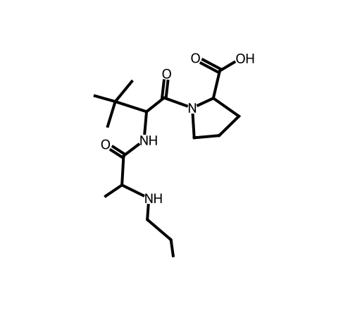 CCCNC(C)C(=O)NC(C(=O)N1CCCC1C(=O)O)C(C)(C)C